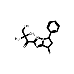 CC(C)(CO)C(=O)c1nc2n(n1)C(c1ccccc1)CC2F